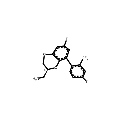 NC[C@H]1COc2cc(F)cc(-c3ccc(F)cc3C(F)(F)F)c2O1